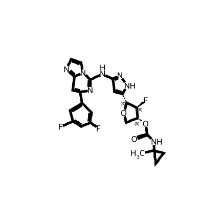 CC1(NC(=O)O[C@@H]2CO[C@H](c3cc(Nc4nc(-c5cc(F)cc(F)c5)cc5nccn45)n[nH]3)[C@H]2F)CC1